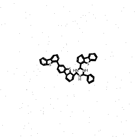 C1=CC2c3ccc(-c4cccc5c4sc4ccccc45)cc3SC2C(C2NC(c3ccccc3)NC(c3cccc4c3sc3ccccc34)N2)=C1